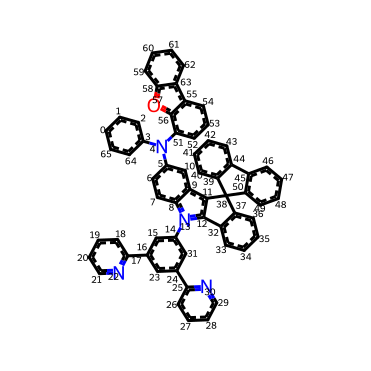 c1ccc(N(c2ccc3c(c2)c2c(n3-c3cc(-c4ccccn4)cc(-c4ccccn4)c3)-c3ccccc3C23c2ccccc2-c2ccccc23)c2cccc3c2oc2ccccc23)cc1